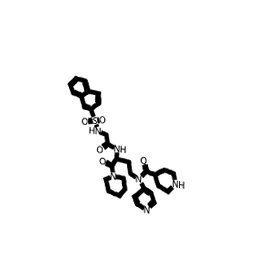 O=C(CNS(=O)(=O)c1ccc2ccccc2c1)NC(CCN(C(=O)C1CCNCC1)c1ccncc1)C(=O)N1CCCCC1